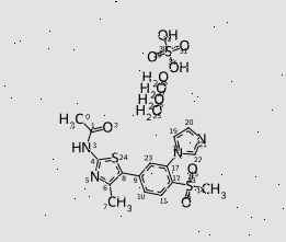 CC(=O)Nc1nc(C)c(-c2ccc(S(C)(=O)=O)c(-n3ccnc3)c2)s1.O.O.O.O.O=S(=O)(O)O